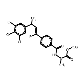 CN(NC(=O)c1ccc(C(F)=CC(c2cc(Cl)c(Cl)c(Cl)c2)C(F)(F)F)cc1)C(=O)OC(C)(C)C